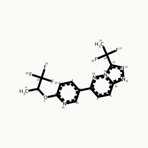 CC(Oc1ccc(-c2ccc3nnc(C(C)(F)F)n3n2)cn1)C(F)(F)F